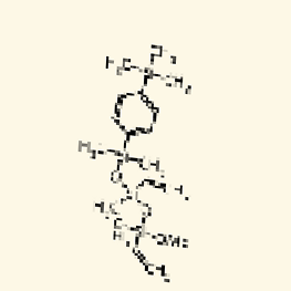 C=C[Si](C)(OC)O[Si](C)(C=C)O[Si](C)(C)c1ccc([Si](C)(C)C)cc1